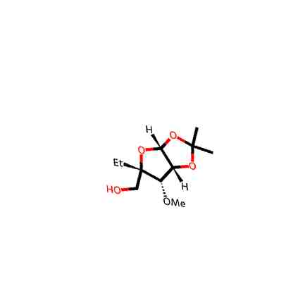 CC[C@@]1(CO)O[C@@H]2OC(C)(C)O[C@@H]2[C@@H]1OC